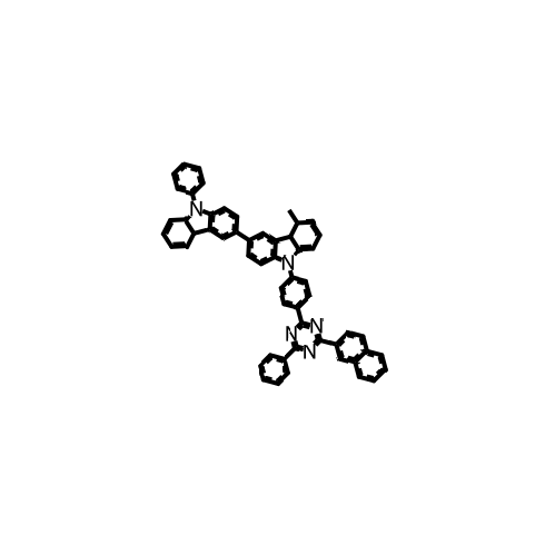 CC1C=CC=C2C1c1cc(-c3ccc4c(c3)C3C=CC=CC3N4c3ccccc3)ccc1N2c1ccc(-c2nc(-c3ccccc3)nc(-c3ccc4ccccc4c3)n2)cc1